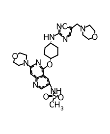 CS(=O)(=O)Nc1cnc2cc(N3CCOCC3)nc(O[C@H]3CC[C@@H](Nc4ncc(CN5CCOCC5)cn4)CC3)c2c1